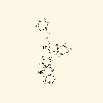 CCc1cc2cc(C(NCCCN3CCCCC3)c3ccccc3)ccc2[nH]c1=O